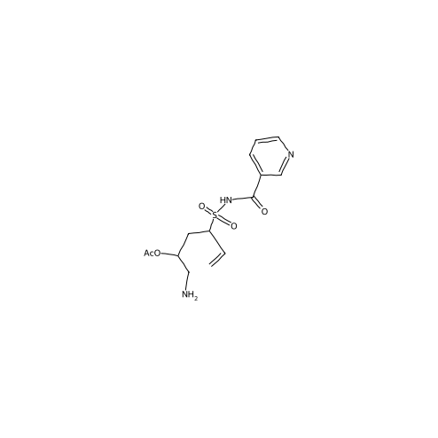 C=CC(CC(CN)OC(C)=O)S(=O)(=O)NC(=O)c1cccnc1